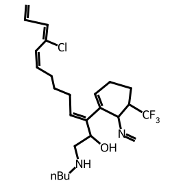 C=C/C=C(Cl)\C=C/CCC/C=C(\C1=CCCC(C(F)(F)F)C1N=C)C(O)CNCCCC